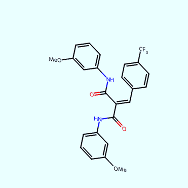 COc1cccc(NC(=O)C(=Cc2ccc(C(F)(F)F)cc2)C(=O)Nc2cccc(OC)c2)c1